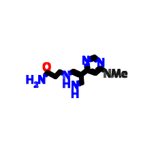 CNc1cc(/C(C=N)=C/NCCC(N)=O)ncn1